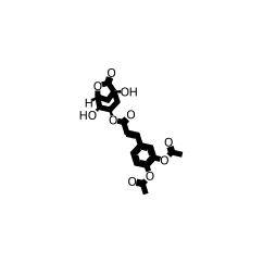 CC(=O)Oc1ccc(/C=C/C(=O)O[C@@H]2C[C@]3(O)C[C@@H](OC3=O)[C@@H]2O)cc1OC(C)=O